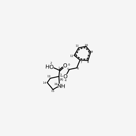 O=C(O)[C@]1(OCCc2ccccc2)CCCN1